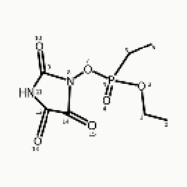 CCOP(=O)(CC)ON1C(=O)NC(=O)C1=O